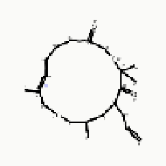 C=CCC1CC(C)CCC/C(C)=C/CCCC(=O)CCC(C)(C)C1=O